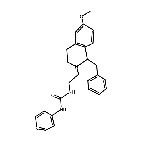 COc1ccc2c(c1)CCN(CCNC(=O)Nc1ccncc1)C2Cc1ccccc1